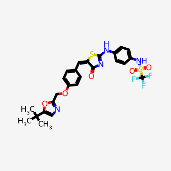 CC(C)(C)c1cnc(COc2ccc(C=C3SC(Nc4ccc(NS(=O)(=O)C(F)(F)F)cc4)=NC3=O)cc2)o1